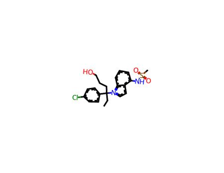 CCC(CCCO)(c1ccc(Cl)cc1)n1ccc2c(NS(C)(=O)=O)cccc21